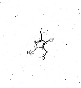 Cc1nn(C)c(CO)c1Cl